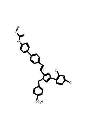 CC(C)OC(=O)Nc1ccc(-c2ccc(/C=C/c3nc(-c4ccc(Cl)cc4Cl)cn3Cc3ccc(C(=O)O)cc3)cc2)cc1